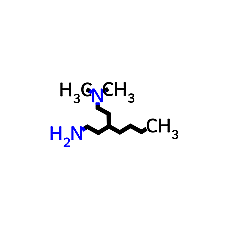 CCCCC(CCN)CCN(C)C